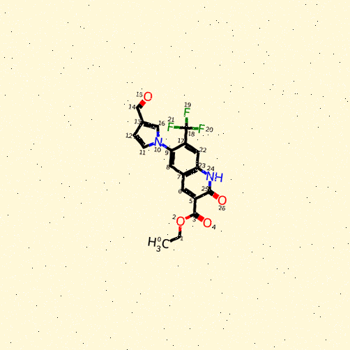 CCOC(=O)c1cc2cc(-n3ccc(C=O)c3)c(C(F)(F)F)cc2[nH]c1=O